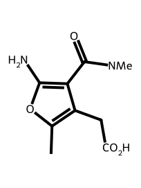 CNC(=O)c1c(N)oc(C)c1CC(=O)O